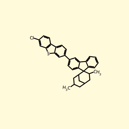 CC1CC2CC(C)C3(c4ccccc4-c4cc(-c5ccc6c(c5)sc5cc(Cl)ccc56)ccc43)C(C1)C2